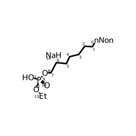 CCCCCCCCCCCCCCCCOP(=O)(O)OCC.[NaH]